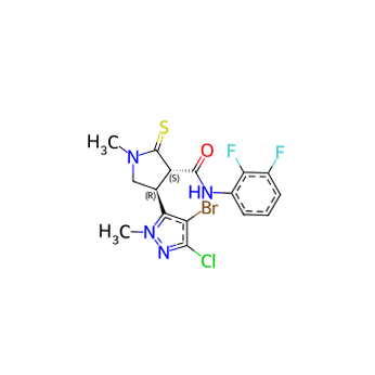 CN1C[C@H](c2c(Br)c(Cl)nn2C)[C@@H](C(=O)Nc2cccc(F)c2F)C1=S